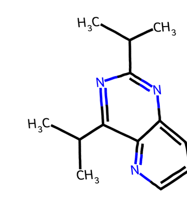 CC(C)c1nc(C(C)C)c2ncccc2n1